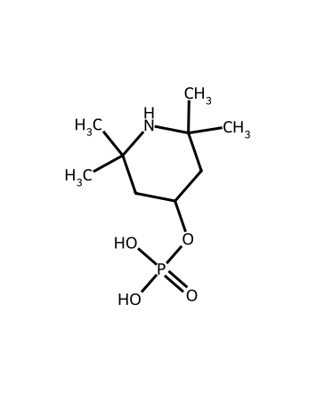 CC1(C)CC(OP(=O)(O)O)CC(C)(C)N1